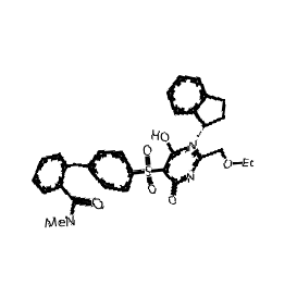 CCOCc1nc(=O)c(S(=O)(=O)c2ccc(-c3ccccc3C(=O)NC)cc2)c(O)n1[C@H]1CCc2ccccc21